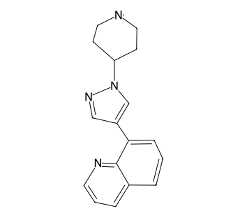 c1cnc2c(-c3cnn(C4CC[N]CC4)c3)cccc2c1